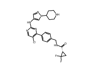 O=C(NCc1ccc(-c2nc(Nc3cnn(C4CCNCC4)c3)ncc2Cl)cc1)[C@@H]1CC1(F)F